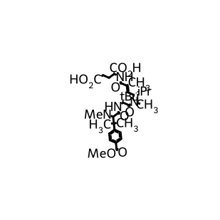 CNC(C(=O)N[C@H](C(=O)N(C)[C@H](/C=C(\C)C(=O)N[C@H](CCC(=O)O)C(=O)O)C(C)C)C(C)(C)C)C(C)(C)c1ccc(C(=O)OC)cc1